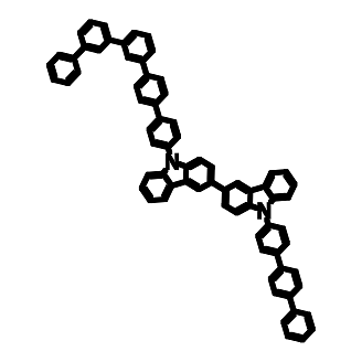 c1ccc(-c2ccc(-c3ccc(-n4c5ccccc5c5cc(-c6ccc7c(c6)c6ccccc6n7-c6ccc(-c7ccc(-c8cccc(-c9cccc(-c%10ccccc%10)c9)c8)cc7)cc6)ccc54)cc3)cc2)cc1